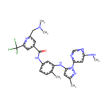 CNc1cc(-n2nc(C)cc2Nc2cc(NC(=O)c3cc(CN(C)C)nc(C(F)(F)F)c3)ccc2C)ncn1